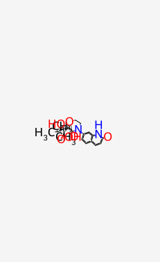 CC(C)(C)[C@](O)(C(=O)O)[C@H]1OCCN(c2ccc3ccc(=O)[nH]c3c2)C1=O